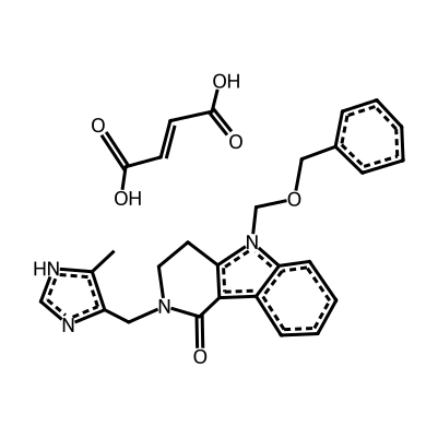 Cc1[nH]cnc1CN1CCc2c(c3ccccc3n2COCc2ccccc2)C1=O.O=C(O)C=CC(=O)O